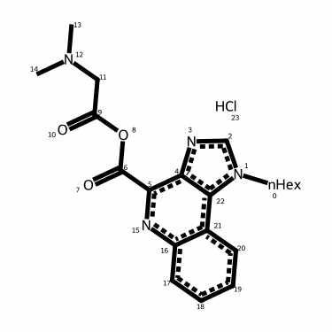 CCCCCCn1cnc2c(C(=O)OC(=O)CN(C)C)nc3ccccc3c21.Cl